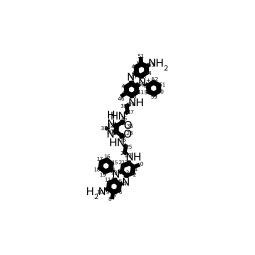 CC1=CC2=Nc3cc(C)c(N)cc3N(c3ccccc3)C2C=C1NCCNC(=O)c1nc[nH]c1C(=O)NCCNc1cc2c(cc1C)nc1cc(C)c(N)cc1[n+]2-c1ccccc1